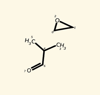 C1CO1.CC(C)C=O